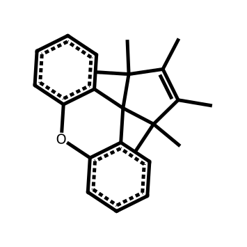 CC1=C(C)C(C)(C)C2(c3ccccc3Oc3ccccc32)C1(C)C